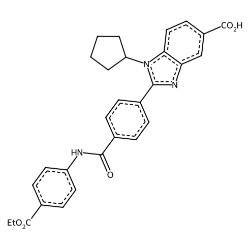 CCOC(=O)c1ccc(NC(=O)c2ccc(-c3nc4cc(C(=O)O)ccc4n3C3CCCC3)cc2)cc1